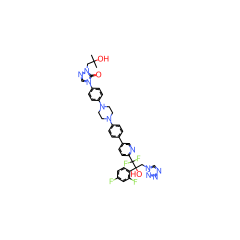 CC(C)(O)Cn1ncn(-c2ccc(N3CCN(c4ccc(-c5ccc(C(F)(F)[C@](O)(Cn6cnnn6)c6ccc(F)cc6F)nc5)cc4)CC3)cc2)c1=O